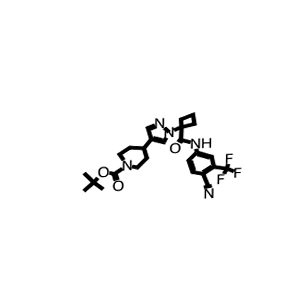 CC(C)(C)OC(=O)N1CCC(c2cnn(C3(C(=O)Nc4ccc(C#N)c(C(F)(F)F)c4)CCC3)c2)CC1